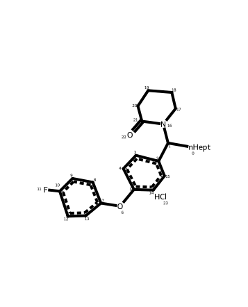 CCCCCCCC(c1ccc(Oc2ccc(F)cc2)cc1)N1CCCCC1=O.Cl